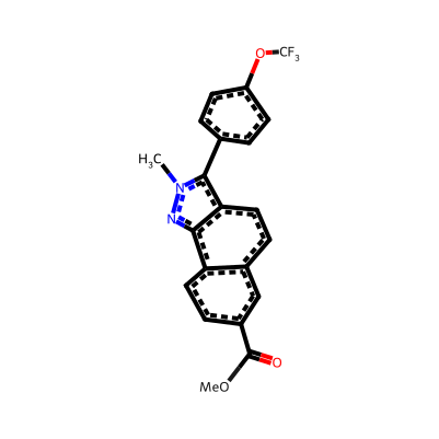 COC(=O)c1ccc2c(ccc3c(-c4ccc(OC(F)(F)F)cc4)n(C)nc32)c1